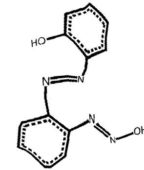 O/N=N/c1ccccc1/N=N/c1ccccc1O